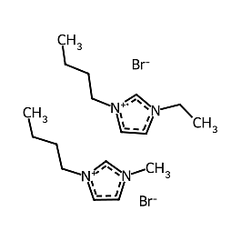 CCCC[n+]1ccn(C)c1.CCCC[n+]1ccn(CC)c1.[Br-].[Br-]